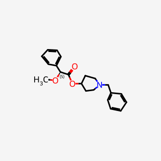 CO[C@H](C(=O)OC1CCN(Cc2ccccc2)CC1)c1ccccc1